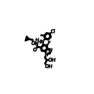 Cc1cc(Cl)ccc1Nc1c(C(=O)NOCC2CC2)cc2c(ncn2CC(O)CO)c1F